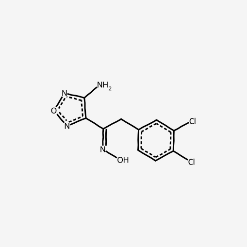 Nc1nonc1/C(Cc1ccc(Cl)c(Cl)c1)=N/O